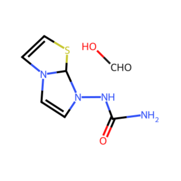 NC(=O)NN1C=CN2C=CSC21.O=CO